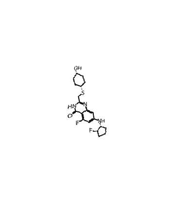 O=c1[nH]c(CS[C@H]2CC[C@H](O)CC2)nc2cc(N[C@H]3CCC[C@H]3F)cc(F)c12